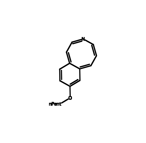 CCCCCOc1ccc2c(c1)=CC=CN=CC=2